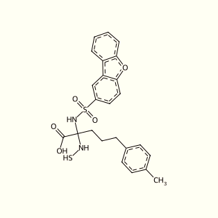 Cc1ccc(CCCC(NS)(NS(=O)(=O)c2ccc3oc4ccccc4c3c2)C(=O)O)cc1